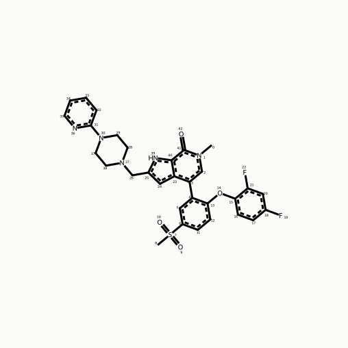 Cn1cc(-c2cc(S(C)(=O)=O)ccc2Oc2ccc(F)cc2F)c2cc(CN3CCN(c4ccccn4)CC3)[nH]c2c1=O